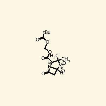 CC(C)(C)C(=O)OCOC(=O)[C@@H]1N2C(=O)C[C@H]2S(=O)(=O)C1(C)C